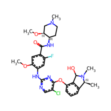 COc1cc(C(=O)N[C@@H]2CCN(C)C[C@@H]2OC)c(F)cc1Nc1ncc(Cl)c(Oc2cccc3c2C(O)N(C)[C@H]3C)n1